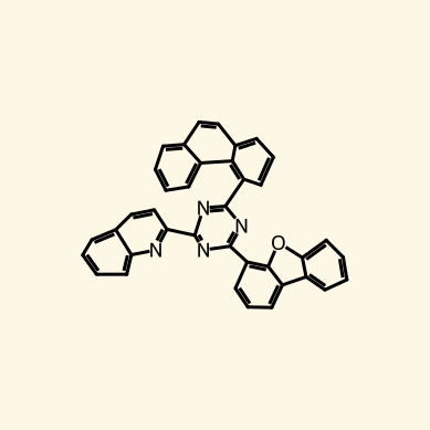 c1ccc2nc(-c3nc(-c4cccc5c4oc4ccccc45)nc(-c4cccc5ccc6ccccc6c45)n3)ccc2c1